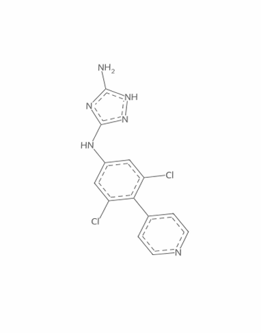 Nc1nc(Nc2cc(Cl)c(-c3ccncc3)c(Cl)c2)n[nH]1